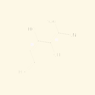 C=C/C=C(O)\C(C)=C(\C#N)CCCC